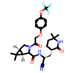 CC1(C)CC[C@@H](C[C@@H](C#N)NC(=O)C2[C@@H]3[C@H](CN2C(=O)COc2ccc(OC(F)(F)F)cc2)C3(C)C)C(=O)N1